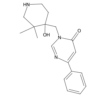 CC1(C)CNCCC1(O)Cn1cnc(-c2ccccc2)cc1=O